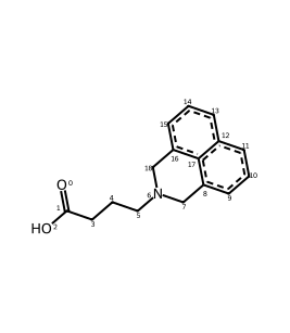 O=C(O)CCCN1Cc2cccc3cccc(c23)C1